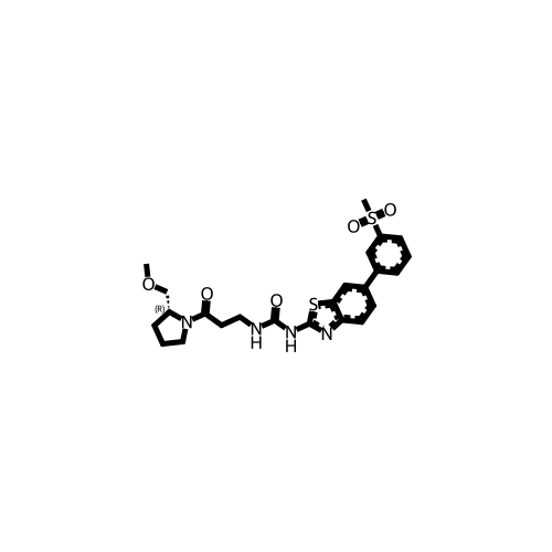 COC[C@H]1CCCN1C(=O)CCNC(=O)Nc1nc2ccc(-c3cccc(S(C)(=O)=O)c3)cc2s1